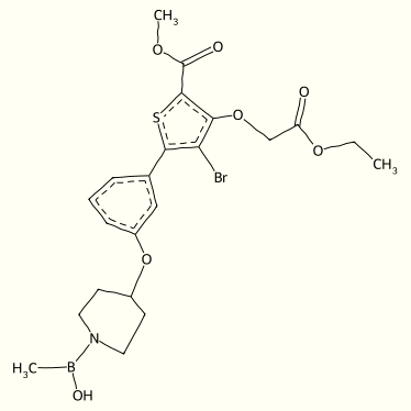 CCOC(=O)COc1c(C(=O)OC)sc(-c2cccc(OC3CCN(B(C)O)CC3)c2)c1Br